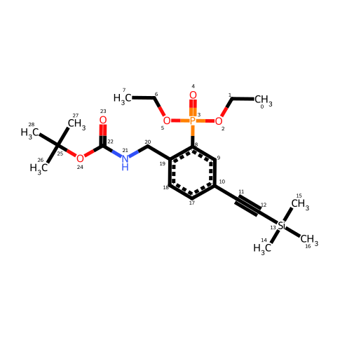 CCOP(=O)(OCC)c1cc(C#C[Si](C)(C)C)ccc1CNC(=O)OC(C)(C)C